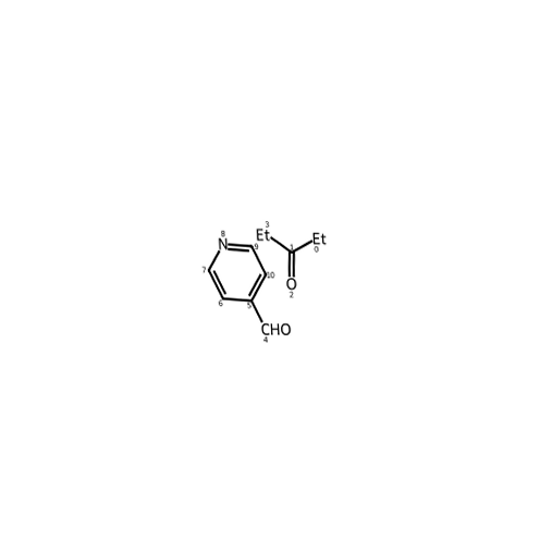 CCC(=O)CC.O=Cc1ccncc1